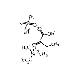 C=C(CC)C(=O)O.CN(C)C.O=S(=O)(O)O